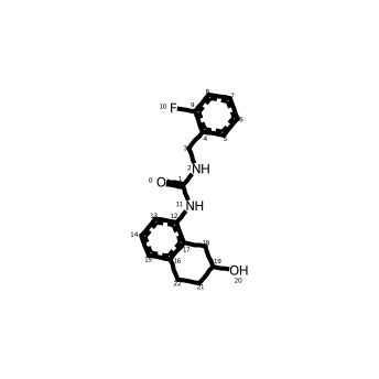 O=C(NCc1ccccc1F)Nc1cccc2c1CC(O)CC2